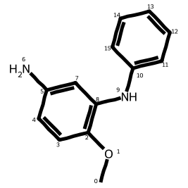 COc1ccc(N)cc1Nc1ccccc1